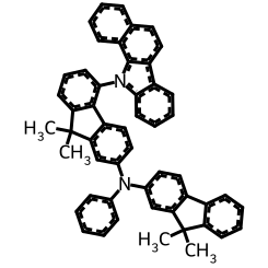 CC1(C)c2ccccc2-c2ccc(N(c3ccccc3)c3ccc4c(c3)C(C)(C)c3cccc(-n5c6ccccc6c6ccc7ccccc7c65)c3-4)cc21